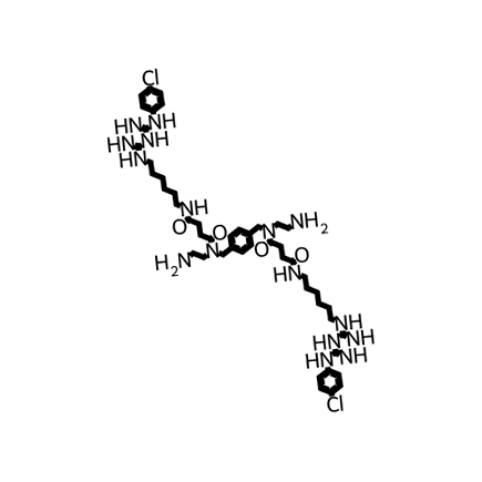 N=C(NCCCCCCNC(=O)CCC(=O)N(CCN)Cc1ccc(CN(CCN)C(=O)CCC(=O)NCCCCCCNC(=N)NC(=N)Nc2ccc(Cl)cc2)cc1)NC(=N)Nc1ccc(Cl)cc1